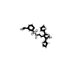 N#Cc1cccc(S(=O)(=O)NCCc2c(-c3cccs3)n[nH]c2-c2cccs2)c1